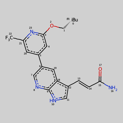 CC[C@@H](C)COc1cc(-c2cnc3[nH]cc(C=CC(N)=O)c3c2)cc(C(F)(F)F)n1